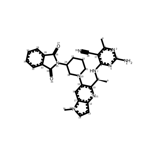 Cc1nc(N)nc(N[C@@H](C)c2nc3ccn(C)c3cc2N2CCCC(N3C(=O)c4ccccc4C3=O)C2)c1C#N